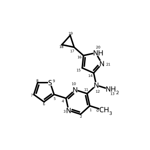 Cc1cnc(-c2cccs2)nc1N(N)c1cc(C2CC2)[nH]n1